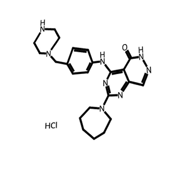 Cl.O=c1[nH]ncc2nc(N3CCCCCC3)nc(Nc3ccc(CN4CCNCC4)cc3)c12